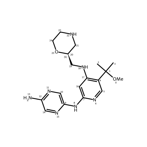 COC(C)(C)c1cnc(Nc2cnc(N)cn2)cc1NC[C@@H]1CNCCO1